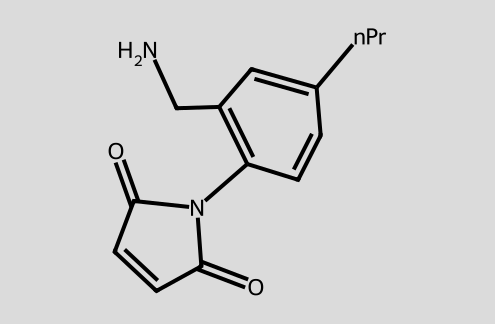 CCCc1ccc(N2C(=O)C=CC2=O)c(CN)c1